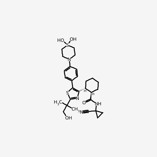 CC(C)(CO)c1nc([C@@H]2CCCC[C@H]2C(=O)NC2(C#N)CC2)c(-c2ccc(N3CCS(O)(O)CC3)cc2)s1